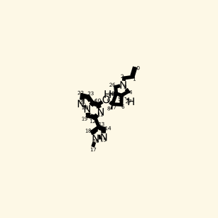 C=CCN1C[C@H]2C[C@](C)(Oc3nc(-c4cnn(C)c4)cn4nccc34)[C@H]2C1